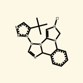 CC(C)(C)c1cnnn1N1C=NC2c3ccccc3N3CN(Cl)C=C3N21